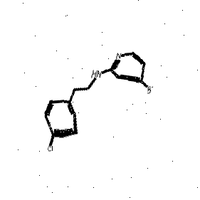 Clc1ccc(CCNc2cc(Br)ccn2)cc1